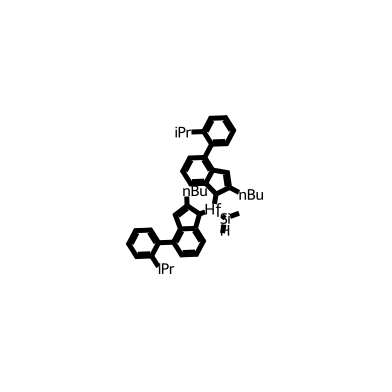 CCCCC1=Cc2c(-c3ccccc3C(C)C)cccc2[CH]1[Hf]([CH]1C(CCCC)=Cc2c(-c3ccccc3C(C)C)cccc21)[SiH](C)C